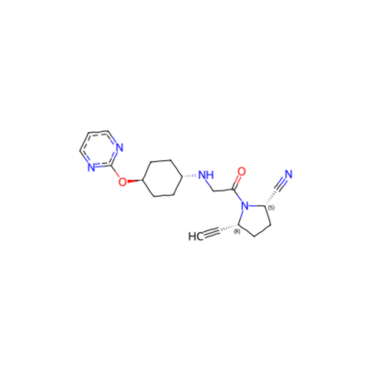 C#C[C@H]1CC[C@@H](C#N)N1C(=O)CN[C@H]1CC[C@H](Oc2ncccn2)CC1